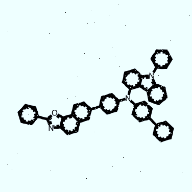 c1ccc(-c2ccc(N(c3ccc(-c4ccc5c(ccc6nc(-c7ccccc7)oc65)c4)cc3)c3cccc4c3c3ccccc3n4-c3ccccc3)cc2)cc1